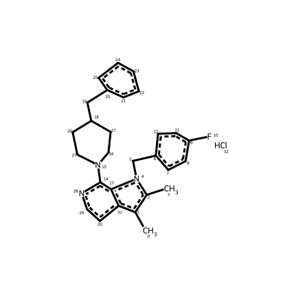 Cc1c(C)n(Cc2ccc(F)cc2)c2c(N3CCC(Cc4ccccc4)CC3)nccc12.Cl